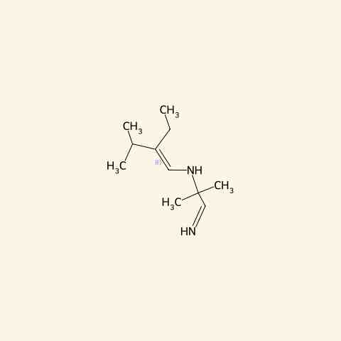 CC/C(=C\NC(C)(C)C=N)C(C)C